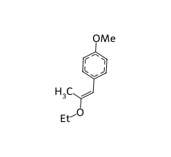 CCO/C(C)=C/c1ccc(OC)cc1